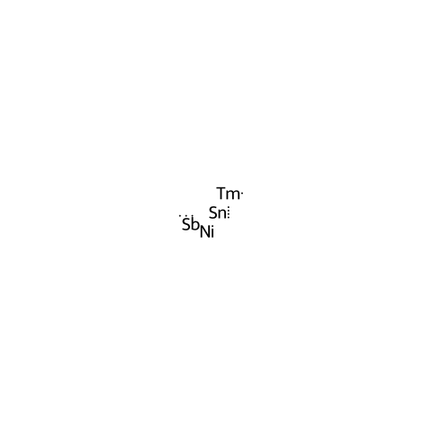 [Ni].[Sb].[Sn].[Tm]